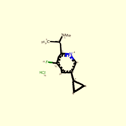 CNC(C)c1ncc(C2CC2)cc1F.Cl